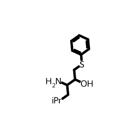 CC(C)CC(N)C(O)CSc1ccccc1